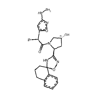 BBc1cc(C(C(=O)N2C[C@H](O)CC2C2=NOC3(CCCc4ccccc43)N2)C(C)C)on1